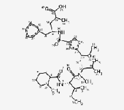 CC[C@H](C)[C@H](NC(=O)C1CCCCN1C)C(=O)N(C)[C@H](C[C@@H](OC)c1nc(C(=O)NC(Cc2ccccc2)CC(C)C(=O)O)cs1)C(C)C